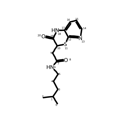 CC(C)CCCNC(=O)CC1Sc2ncccc2NC1=O